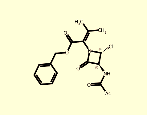 CC(=O)C(=O)N[C@H]1C(=O)N(C(C(=O)OCc2ccccc2)=C(C)C)[C@@H]1Cl